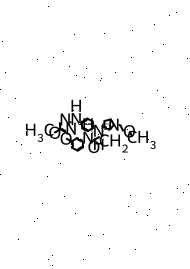 C=CC(=O)Nc1cccc(Oc2nc(Nc3ccc(N[C@H]4CCN(CCOC)C4)cc3)ncc2OC)c1